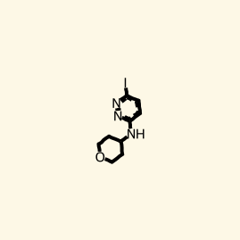 Ic1ccc(NC2CCOCC2)nn1